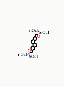 CCCCCCCCN(CCCCCCCC)c1cc2cc3ccc4c5cc6oc(N(CCCCCCCC)CCCCCCCC)cc6cc5ccc4c3cc2o1